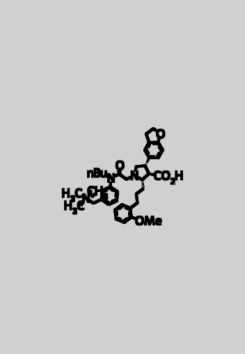 CCCCN(C(=O)CN1C[C@H](c2ccc3c(c2)CCO3)[C@@H](C(=O)O)[C@@H]1CCCc1ccccc1OC)c1cccc(C[N+](C)(C)C)c1